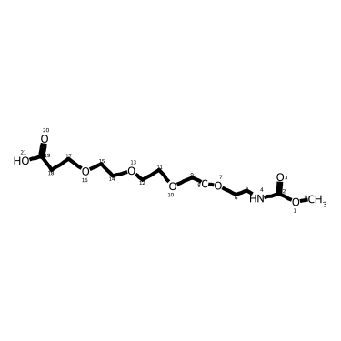 COC(=O)NCCOCCOCCOCCOCCC(=O)O